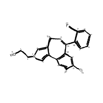 OCCn1cc2c(c1)-c1ccc(Cl)cc1C(c1ccccc1F)=NC2